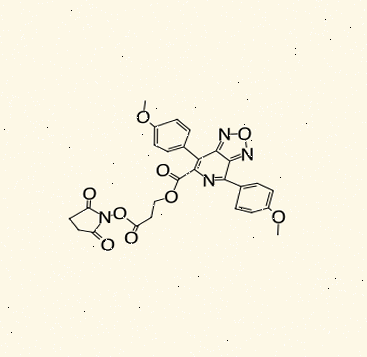 COc1ccc(-c2nc(C(=O)OCCC(=O)ON3C(=O)CCC3=O)c(-c3ccc(OC)cc3)c3nonc23)cc1